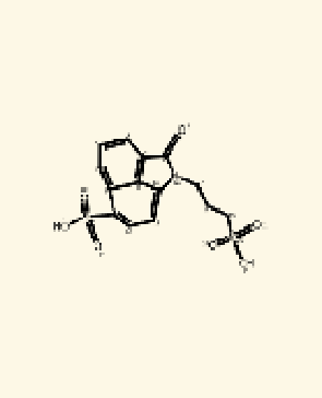 O=C1c2cccc3c(S(=O)(=O)O)ccc(c23)N1CCCS(=O)(=O)O